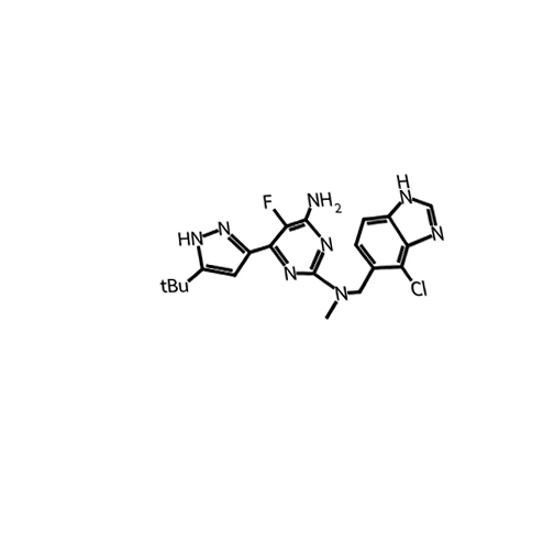 CN(Cc1ccc2[nH]cnc2c1Cl)c1nc(N)c(F)c(-c2cc(C(C)(C)C)[nH]n2)n1